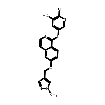 Cn1cc(COc2ccc3c(Nc4cnc(Cl)c(O)c4)nccc3c2)cn1